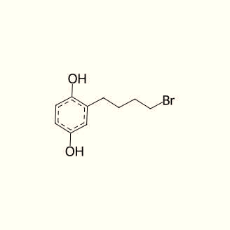 Oc1ccc(O)c(CCCCBr)c1